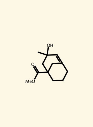 COC(=O)C12CCCC(=CC(C)(O)C1)C2